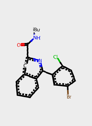 CC[C@@H](C)NC(=O)c1cc2ccccc2c(-c2cc(Br)ccc2Cl)n1